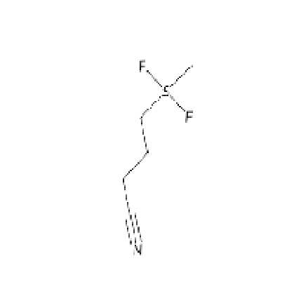 CS(F)(F)CCCC#N